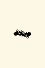 O=C1c2ccccc2C(=O)N1CC(F)(F)C(F)(F)C(F)(F)C(F)(F)CN1C(=O)c2ccccc2C1=O